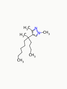 CCCCCCC(C)(CCCC)c1cn(C)nc1C